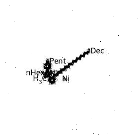 CCCCCCCCCCCCCCCCCCCCCCCCC=CCCc1ccccc1C1=C(C)C(CCCCCC)=C(c2ccc(CCCCC)cc2)[N+]1=[N-].[Ni]